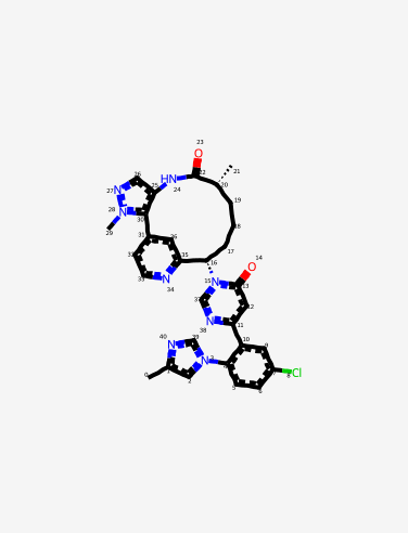 Cc1cn(-c2ccc(Cl)cc2-c2cc(=O)n([C@H]3CCC[C@@H](C)C(=O)Nc4cnn(C)c4-c4ccnc3c4)cn2)cn1